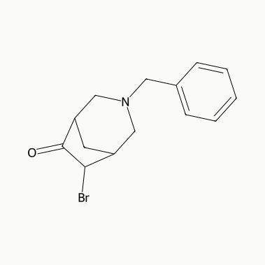 O=C1C2CC(CN(Cc3ccccc3)C2)C1Br